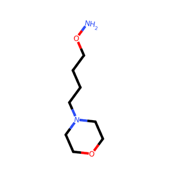 NOCCCCN1CCOCC1